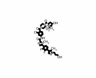 Cc1c(-c2ccc(-c3cnc(C(=O)Nc4ccc(C(=O)N5CCN(C(=O)[C@@H]6C[C@@H](O)C[N+]6(C)C)CC5)c(Cl)c4)n3C)c(F)c2F)cnn1CCCO